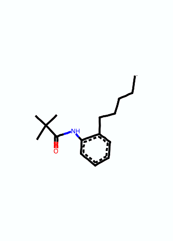 [CH2]CCCCc1ccccc1NC(=O)C(C)(C)C